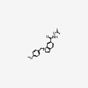 COc1ccc(Cn2ccc3ccc(C(=O)NSN(C)C)cc32)cc1